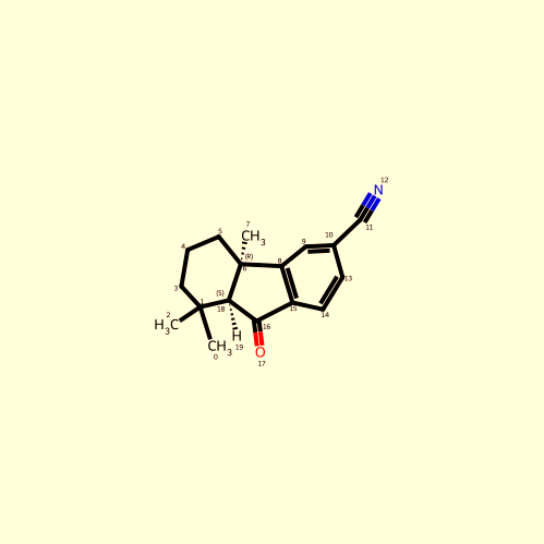 CC1(C)CCC[C@@]2(C)c3cc(C#N)ccc3C(=O)[C@@H]12